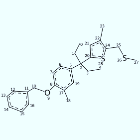 CCC(CC)(c1ccc(OCc2ccccc2)c(C)c1)c1cc(C)c(CSC)s1